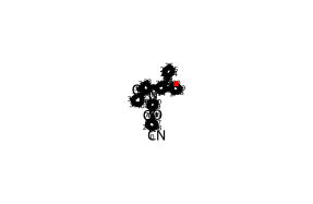 N#Cc1ccc(S(=O)(=O)c2ccc(-n3c4cc5c6ccccc6n(-c6ccccc6)c5cc4c4ccc5oc6ccccc6c5c43)cc2)cc1